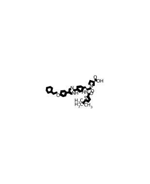 CC(C)(C)c1ccc(C(=O)N[C@@H](Cc2ccc(C3N=CC(c4ccc(OCCC5CCCCC5)cc4)=CN3)cc2)C(=O)N2CC[C@H](C(=O)O)C2)s1